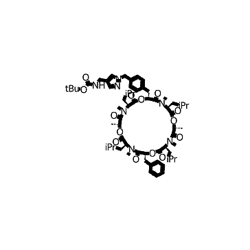 CC(C)C[C@H]1C(=O)O[C@H](Cc2ccc(Cn3cc(CNC(=O)OC(C)(C)C)cn3)cc2)C(=O)N(C)[C@@H](CC(C)C)C(=O)O[C@H](C)C(=O)N(C)[C@@H](CC(C)C)C(=O)O[C@H](Cc2ccccc2)C(=O)N(C)[C@@H](CC(C)C)C(=O)O[C@H](C)C(=O)N1C